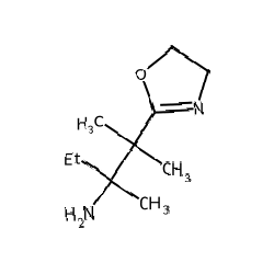 CCC(C)(N)C(C)(C)C1=NCCO1